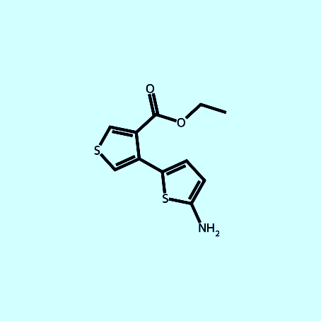 CCOC(=O)c1cscc1-c1ccc(N)s1